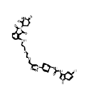 O=C1CCC(N2C(=O)c3cccc(NCCOCCOCc4cn(-c5ccc(NC(=O)Nc6c[nH]c7ccc(Cl)cc67)cc5)nn4)c3C2=O)C(=O)N1